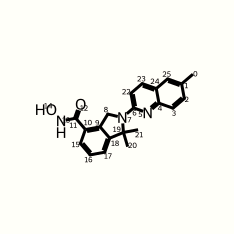 Cc1ccc2nc(N3Cc4c(C(=O)NO)cccc4C3(C)C)ccc2c1